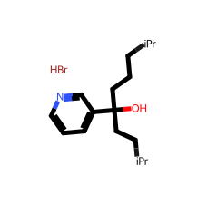 Br.CC(C)CCCC(O)(CCC(C)C)c1cccnc1